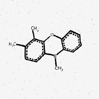 CB1c2ccccc2Oc2c1ccc(C)c2C